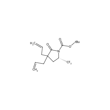 C=CCC1(CC=C)C[C@@H](C(F)(F)F)N(C(=O)OC(C)(C)C)C1=O